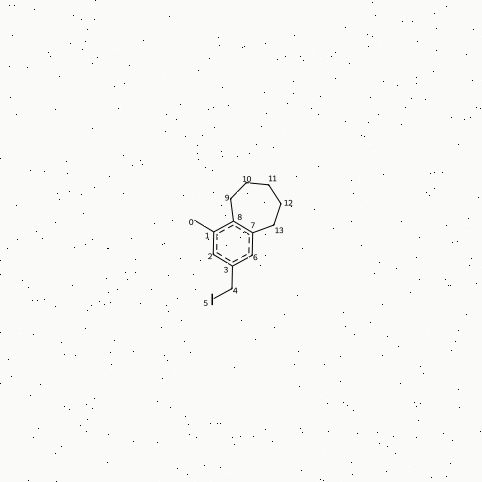 Cc1cc(CI)cc2c1CCCCC2